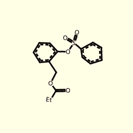 CCC(=O)OCc1ccccc1OS(=O)(=O)c1ccccc1